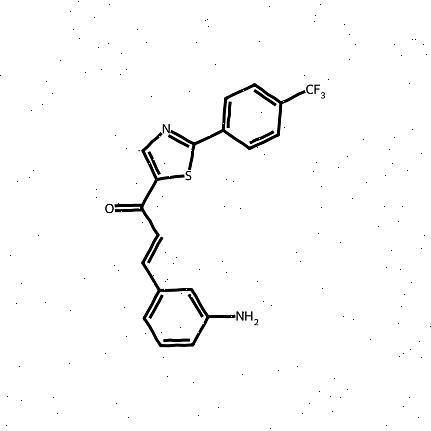 Nc1cccc(C=CC(=O)c2[c]nc(-c3ccc(C(F)(F)F)cc3)s2)c1